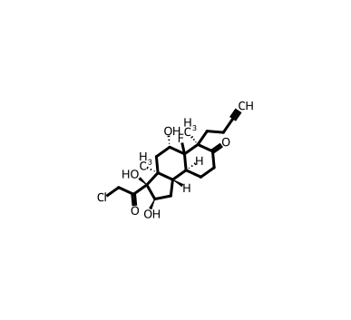 C#CCC[C@@]1(C)C(=O)CC[C@H]2[C@@H]3C[C@@H](O)[C@](O)(C(=O)CCl)[C@@]3(C)C[C@H](O)C21F